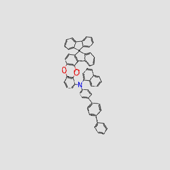 c1ccc(-c2ccc(-c3ccc(N(c4cccc5c4Oc4c(ccc6c4-c4ccccc4C64c6ccccc6-c6ccccc64)O5)c4cccc5ccccc45)cc3)cc2)cc1